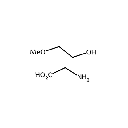 COCCO.NCC(=O)O